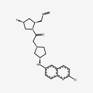 C=NC[C@@H]1C[C@H](F)CN1C(=O)CN1CC[C@@H](Nc2ccc3nc(Cl)ccc3c2)C1